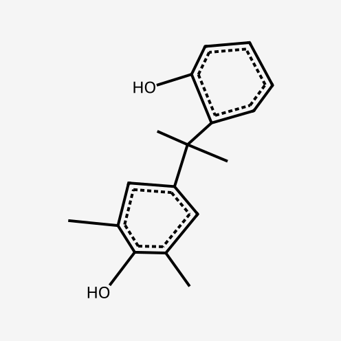 Cc1cc(C(C)(C)c2ccccc2O)cc(C)c1O